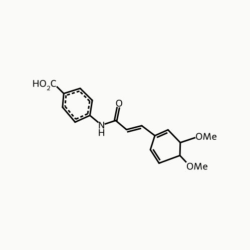 COC1C=CC(/C=C/C(=O)Nc2ccc(C(=O)O)cc2)=CC1OC